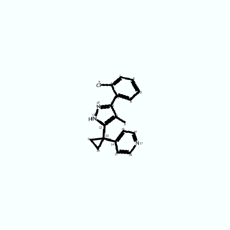 Cc1c(-c2ccccc2Cl)n[nH]c1C1(c2ccncc2)CC1